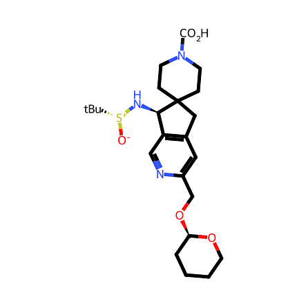 CC(C)(C)[S@@+]([O-])N[C@@H]1c2cnc(CO[C@@H]3CCCCO3)cc2CC12CCN(C(=O)O)CC2